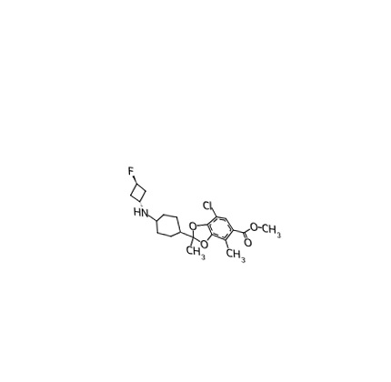 COC(=O)c1cc(Cl)c2c(c1C)OC(C)(C1CCC(N[C@H]3C[C@H](F)C3)CC1)O2